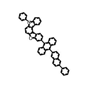 c1ccc(-c2ccc3cc(-c4c5ccccc5c(-c5ccc6c(c5)oc5ccc7c(c8ccccc8n7-c7ccccc7)c56)c5ccccc45)ccc3c2)cc1